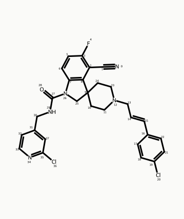 N#Cc1c(F)ccc2c1C1(CCN(CC=Cc3ccc(Cl)cc3)CC1)CN2C(=O)NCc1ccnc(Cl)c1